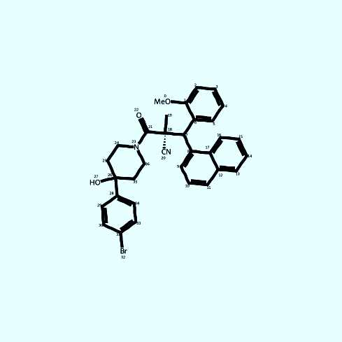 COc1ccccc1C(c1cccc2ccccc12)[C@@](C)(C#N)C(=O)N1CCC(O)(c2ccc(Br)cc2)CC1